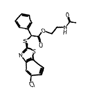 CC(=O)NCCOC(=O)C(Sc1nc2cc(Cl)ccc2s1)c1ccccc1